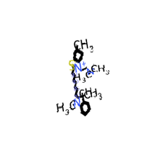 Cc1ccc2c(c1)sc(/C=C/C=C/C=C/C=C1/N(C)c3ccccc3C1(C)C)[n+]2CCN(C)C